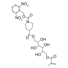 C=C(C)C(=O)OCC(O)C(O)C(O)C(O)COC(=O)C1CCN(C(=O)OCc2c([N+](=O)[O-])cccc2[N+](=O)[O-])CC1